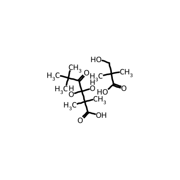 CC(C)(C)C(=O)C(O)(O)C(C)(C)C(=O)O.CC(C)(CO)C(=O)O